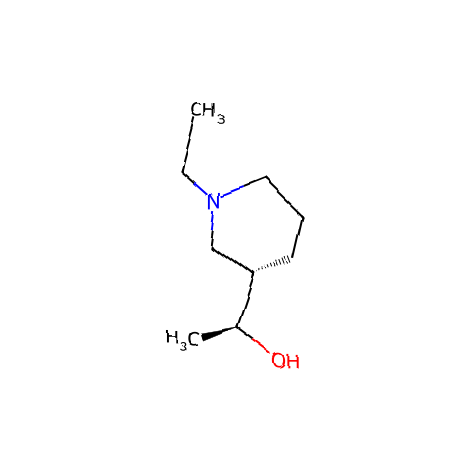 CCN1CCC[C@H]([C@H](C)O)C1